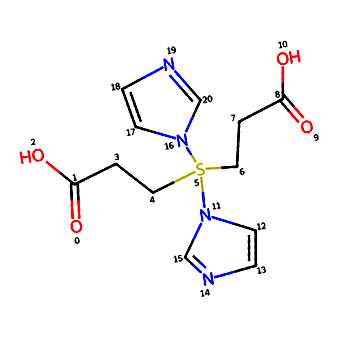 O=C(O)CCS(CCC(=O)O)(n1ccnc1)n1ccnc1